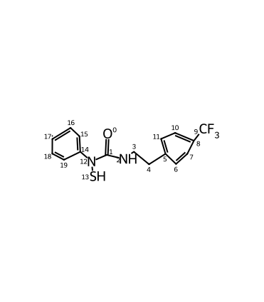 O=C(NCCc1ccc(C(F)(F)F)cc1)N(S)c1cc[c]cc1